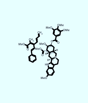 C=CC=CC(C=Cc1ccccc1)=C(C)C(=O)OC.COC(=O)[C@H]1[C@H]2C[C@@H]3c4[nH]c5cc(OC)ccc5c4CCN3C[C@H]2C[C@@H](OC(=O)c2cc(OC)c(OC)c(OC)c2)[C@@H]1OC